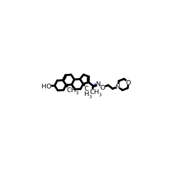 C/C(=N\OCCN1CCOCC1)C1=CCC2C3CC=C4CC(O)CCC4(C)C3CCC12C